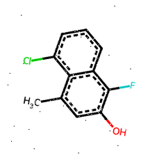 Cc1cc(O)c(F)c2cccc(Cl)c12